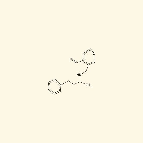 CC(CCc1ccccc1)NCc1ccccc1C=O